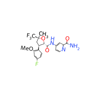 COc1cc(F)ccc1[C@H]1C[C@@](C)(C(F)(F)F)O[C@@H]1C(=O)Nc1ccnc(C(N)=O)c1